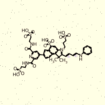 CC1(C)C(/C=C/C=C/Nc2ccccc2)=[N+](CCCS(=O)(=O)O)c2cc(S(=O)(=O)O)c3cc(-c4cc(C(=O)NCCS(=O)(=O)O)nc(C(=O)NCCS(=O)(=O)O)c4)ccc3c21